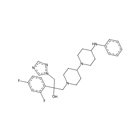 OC(CN1CCC(N2CCC(Nc3ccccc3)CC2)CC1)(Cn1cncn1)c1ccc(F)cc1F